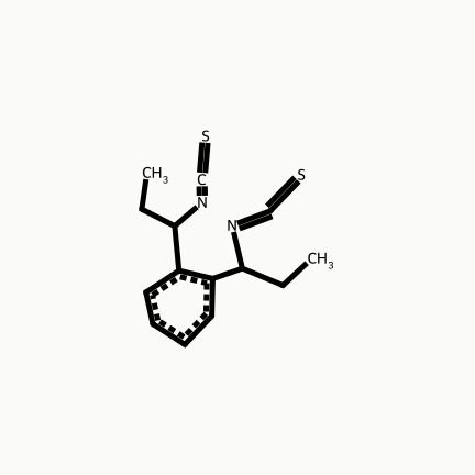 CCC(N=C=S)c1ccccc1C(CC)N=C=S